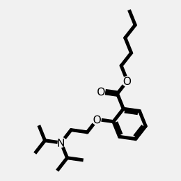 CCCCCOC(=O)c1ccccc1OCCN(C(C)C)C(C)C